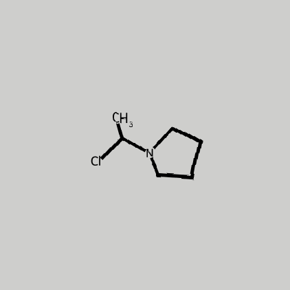 CC(Cl)N1CCCC1